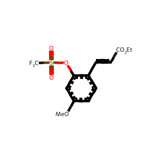 CCOC(=O)/C=C/c1ccc(OC)cc1OS(=O)(=O)C(F)(F)F